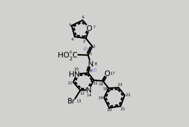 O=C(O)C(=C\c1ccco1)/N=c1\[nH]cc(Br)nc1C(=O)c1ccccc1